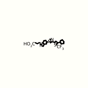 O=C(O)CCCn1ncc2cc(-n3cnc(-c4cc(-c5ccccc5)c(C(F)(F)F)s4)c3)ccc21